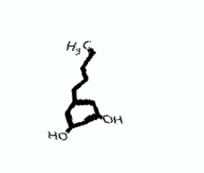 CCCCCC1=CC(O)=CC(O)C1